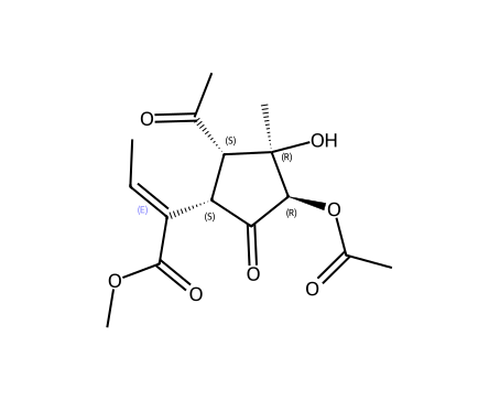 C/C=C(/C(=O)OC)[C@H]1C(=O)[C@H](OC(C)=O)[C@](C)(O)[C@H]1C(C)=O